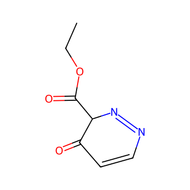 CCOC(=O)C1N=NC=CC1=O